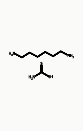 NC(=S)S.NCCCCCCN